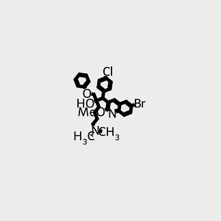 COc1nc2ccc(Br)cc2cc1C(c1ccc(Cl)cc1)C(O)(CCCCN(C)C)COc1ccccc1